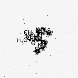 CCN(CC)[C@@H](C)CNC(=O)c1cc(-c2cnn3ccc(-c4cccs4)nc23)nc(-c2cnn3ccc(-c4cccs4)nc23)c1